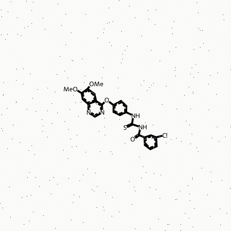 COc1cc2ncnc(Oc3ccc(NC(=S)NC(=O)c4cccc(Cl)c4)cc3)c2cc1OC